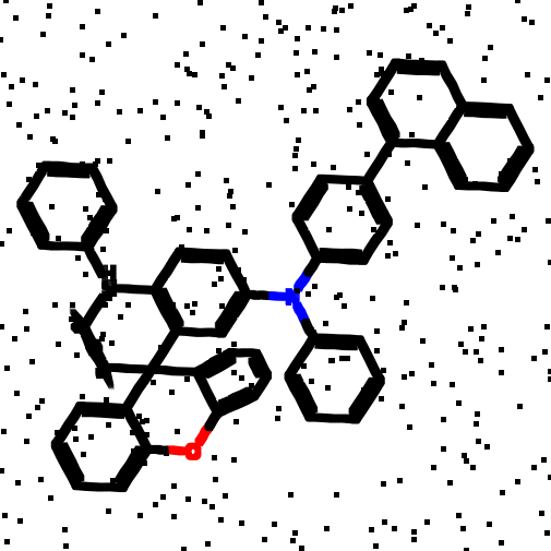 c1ccc(N(c2ccc(-c3cccc4ccccc34)cc2)c2ccc3c(c2)C2(c4ccccc4Oc4ccccc42)c2ccccc2[SiH]3c2ccccc2)cc1